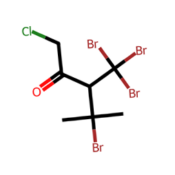 CC(C)(Br)C(C(=O)CCl)C(Br)(Br)Br